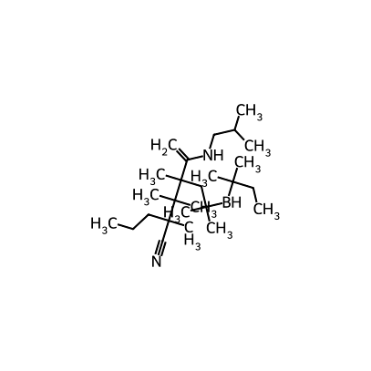 C=C(NCC(C)C)C(C)(CC(C)(C)BC(C)(C)CC)C(C)(C)C(C)(C#N)CCC